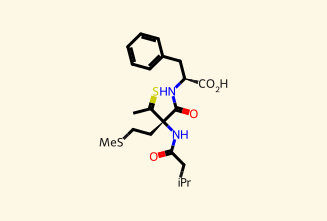 CSCC[C@](NC(=O)CC(C)C)(C(=O)N[C@@H](Cc1ccccc1)C(=O)O)C(C)=S